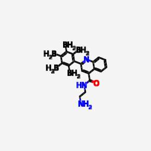 Bc1c(B)c(B)c(-c2cc(C(=O)NCCN)c3ccccc3n2)c(B)c1B